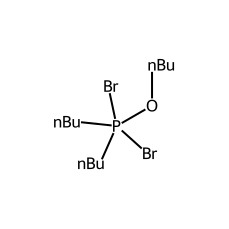 CCCCOP(Br)(Br)(CCCC)CCCC